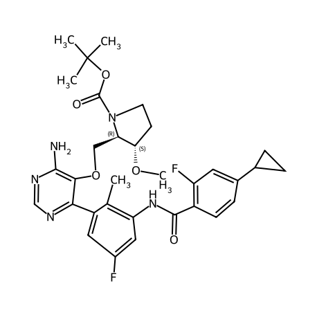 CO[C@H]1CCN(C(=O)OC(C)(C)C)[C@@H]1COc1c(N)ncnc1-c1cc(F)cc(NC(=O)c2ccc(C3CC3)cc2F)c1C